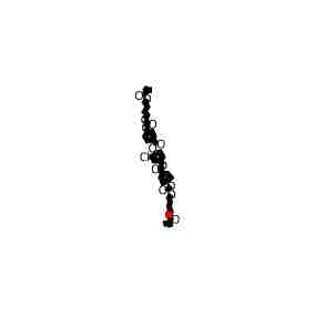 C=C(C)C(=O)OCCCCOC(=O)Oc1ccc(C(=O)Oc2ccc(OC(=O)c3ccc(OC(=O)OCCCCOC(=O)C(=C)C)cc3)c(Cl)c2)cc1